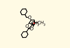 CC1C2OC3(C4CCCCC4)OC1C(OCC1CCCCC1)C(O3)C2C